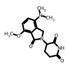 COc1ccc(N(C)C)c2c1C(=O)N(C1CCC(=O)NC1=O)C2